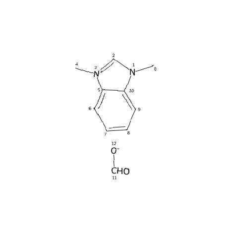 Cn1c[n+](C)c2ccccc21.O=C[O-]